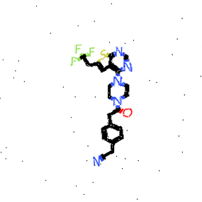 N#CCc1ccc(CC(=O)N2CCN(c3ncnc4sc(CC(F)(F)F)cc34)CC2)cc1